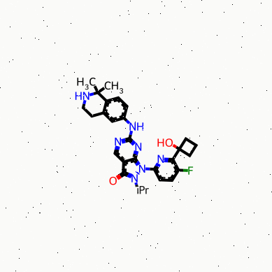 CC(C)n1c(=O)c2cnc(Nc3ccc4c(c3)CCNC4(C)C)nc2n1-c1ccc(F)c(C2(O)CCC2)n1